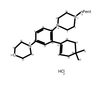 CCCCCN1CCN(c2ccc(N3CCOCC3)cc2C2=CCC(C)(C)CC2)CC1.Cl